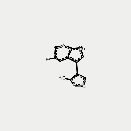 Fc1cnc2[nH]cc(-c3csnc3C(F)(F)F)c2c1